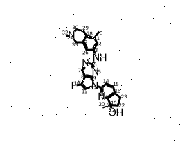 Cc1cc(Nc2ncc3c(F)cn(-c4ccc5c(n4)[C@@](C)(O)CC5)c3n2)cc2c1CCN(C)C2